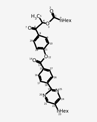 CCCCCCC(=O)OC(C)C(=O)c1ccc(OC(=O)c2ccc(-c3ncc(CCCCCC)cn3)cc2)cc1